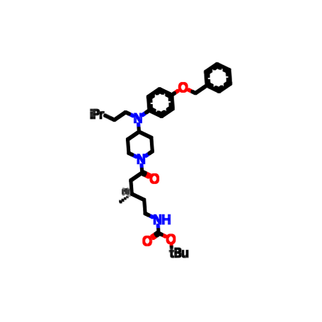 CC(C)CCN(c1ccc(OCc2ccccc2)cc1)C1CCN(C(=O)C[C@@H](C)CCNC(=O)OC(C)(C)C)CC1